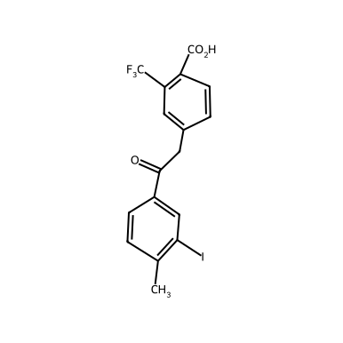 Cc1ccc(C(=O)Cc2ccc(C(=O)O)c(C(F)(F)F)c2)cc1I